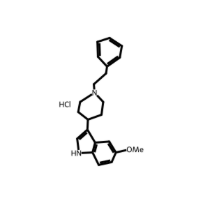 COc1ccc2[nH]cc(C3CCN(CCc4ccccc4)CC3)c2c1.Cl